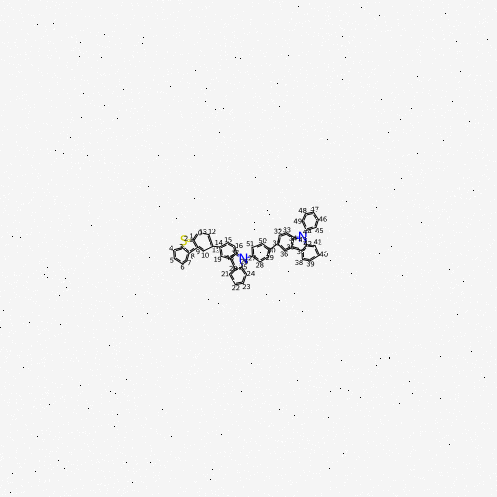 C=c1sc2ccccc2/c1=C/C(=C\C)c1ccc2c(c1)c1ccccc1n2-c1ccc(-c2ccc3c(c2)c2ccccc2n3-c2ccccc2)cc1